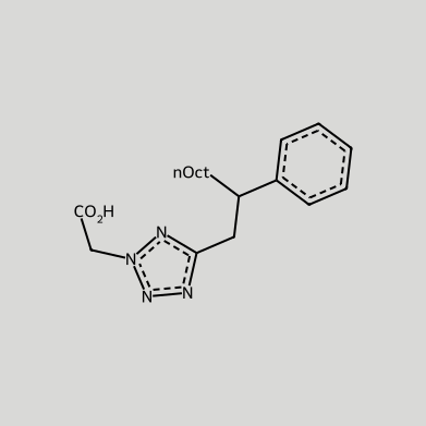 CCCCCCCCC(Cc1nnn(CC(=O)O)n1)c1ccccc1